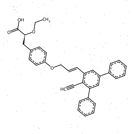 C#Cc1c(/C=C/COc2ccc(C[C@H](OCC)C(=O)O)cc2)cc(-c2ccccc2)cc1-c1ccccc1